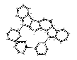 c1ccc(-c2cccc(-n3c4ccccc4c4ccc5c(sc6c5c5ccccc5n6-c5ccccc5)c43)c2)cc1